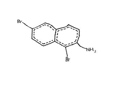 Nc1ccc2cc(Br)ccc2c1Br